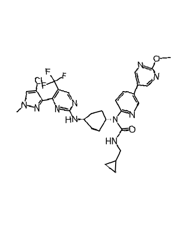 COc1ncc(-c2ccc(N(C(=O)NCC3CC3)[C@H]3CC[C@H](Nc4ncc(C(F)(F)F)c(-c5nn(C)cc5Cl)n4)CC3)nc2)cn1